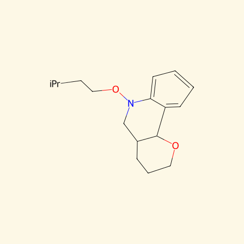 CC(C)CCON1CC2CCCOC2c2ccccc21